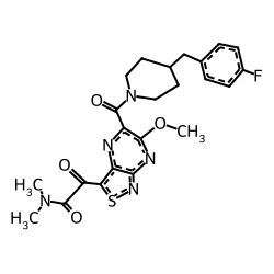 COc1nc2nsc(C(=O)C(=O)N(C)C)c2nc1C(=O)N1CCC(Cc2ccc(F)cc2)CC1